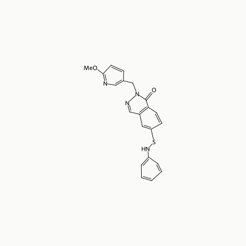 COc1ccc(Cn2ncc3cc(SNc4ccccc4)ccc3c2=O)cn1